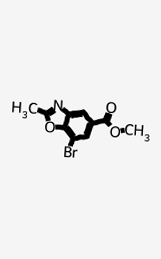 COC(=O)c1cc(Br)c2oc(C)nc2c1